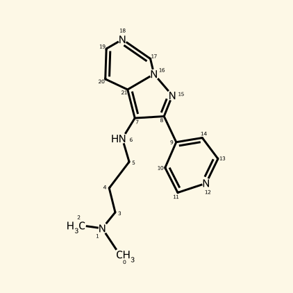 CN(C)CCCNc1c(-c2ccncc2)nn2cnccc12